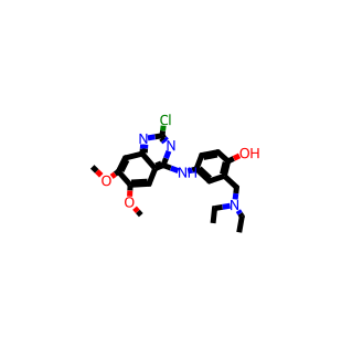 CCN(CC)Cc1cc(Nc2nc(Cl)nc3cc(OC)c(OC)cc23)ccc1O